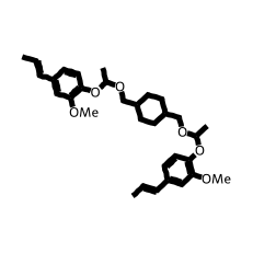 C/C=C/c1ccc(OC(C)OCC2CCC(COC(C)Oc3ccc(/C=C/C)cc3OC)CC2)c(OC)c1